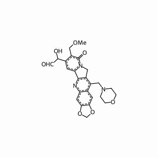 COCc1c(C(O)C=O)cc2n(c1=O)Cc1c-2nc2cc3c(cc2c1CN1CCOCC1)OCO3